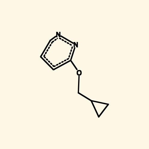 c1cnnc(OCC2CC2)c1